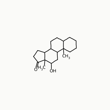 CC12CCCCC1CCC1C2CC(O)C2(C)C(=O)CCC12